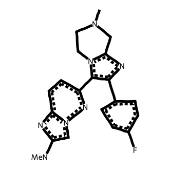 CNc1cn2nc(-c3c(-c4ccc(F)cc4)nc4n3CCN(C)C4)ccc2n1